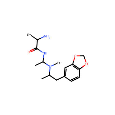 CCN(C(C)Cc1ccc2c(c1)OCO2)C(C)NC(=O)C(N)C(C)C